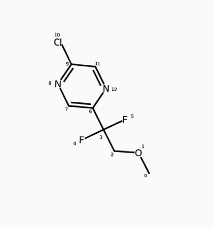 COCC(F)(F)c1cnc(Cl)cn1